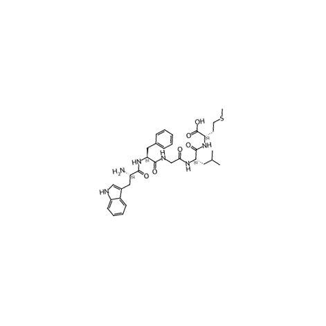 CSCC[C@H](NC(=O)[C@H](CC(C)C)NC(=O)CNC(=O)[C@H](Cc1ccccc1)NC(=O)[C@@H](N)Cc1c[nH]c2ccccc12)C(=O)O